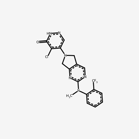 CN(c1ncc2c(n1)CN(c1cn[nH]c(=O)c1Cl)C2)c1ccccc1C(F)(F)F